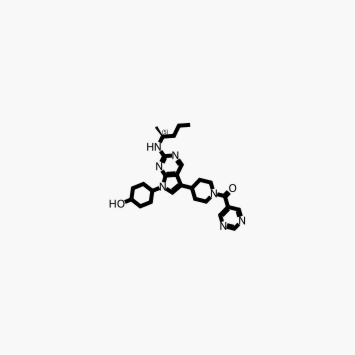 CCC[C@H](C)Nc1ncc2c(C3CCN(C(=O)c4cncnc4)CC3)cn(C3CCC(O)CC3)c2n1